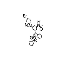 CC(=O)Nc1cc(-c2cn(S(=O)(=O)c3ccccc3)c3ccccc23)cc(-n2cnc3cc(Br)ccc32)c1